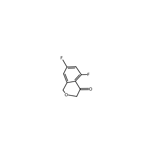 O=C1COCc2cc(F)cc(F)c21